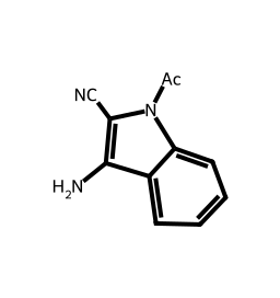 CC(=O)n1c(C#N)c(N)c2ccccc21